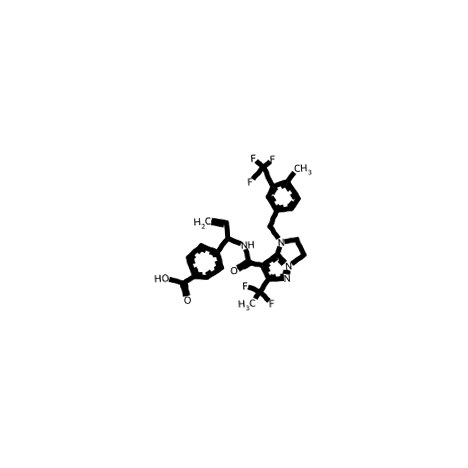 C=CC(NC(=O)c1c(C(C)(F)F)nn2c1N(Cc1ccc(C)c(C(F)(F)F)c1)CC2)c1ccc(C(=O)O)cc1